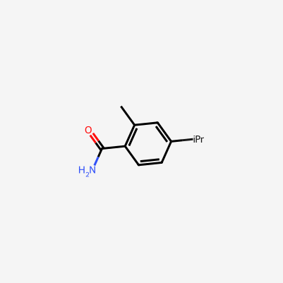 Cc1cc(C(C)C)ccc1C(N)=O